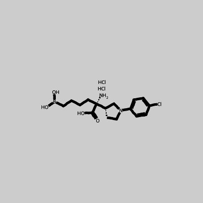 Cl.Cl.N[C@@](CCCCB(O)O)(C(=O)O)[C@H]1CCN(c2ccc(Cl)cc2)C1